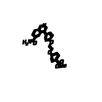 COC(=O)c1ccc(OCCOc2ccc(-c3cncc4ccc(C(N)=O)cc34)cc2)cc1